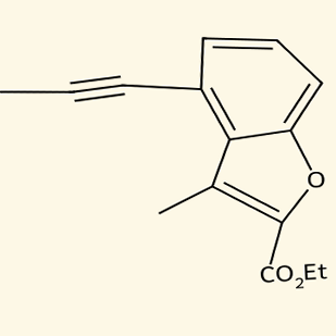 CC#Cc1cccc2oc(C(=O)OCC)c(C)c12